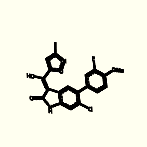 COc1ccc(-c2cc3c(cc2Cl)NC(=O)C3=C(O)c2cc(C)no2)cc1F